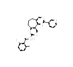 O=C(Nc1ncc2c(n1)CCCc1cnc(-c3cccnc3)nc1-2)c1c(F)cccc1F